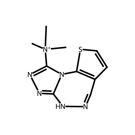 C[N+](C)(C)c1nnc2n1-c1sccc1C=NN2